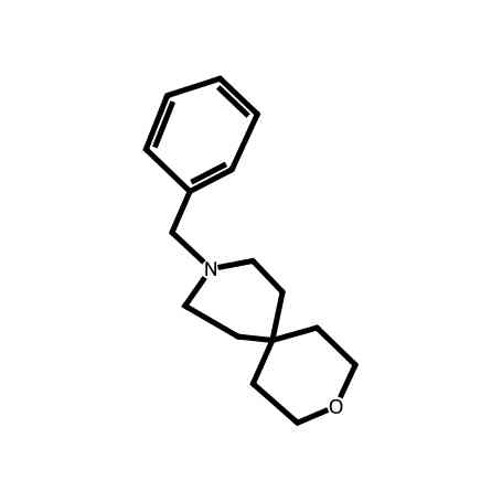 c1ccc(CN2CCC3(CCOCC3)CC2)cc1